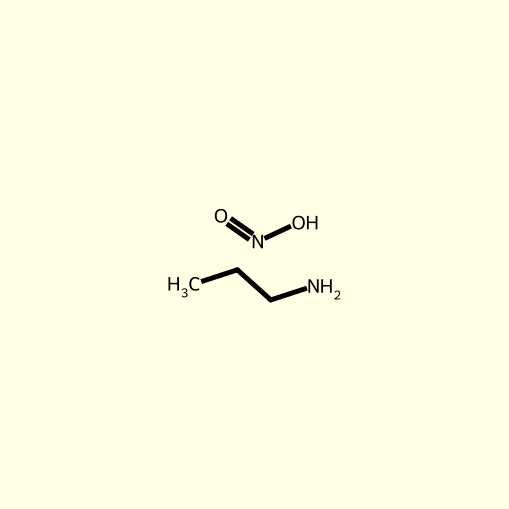 CCCN.O=NO